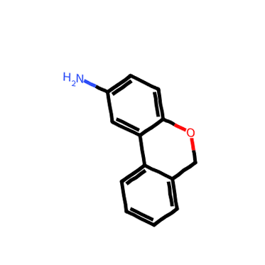 Nc1ccc2c(c1)-c1ccccc1CO2